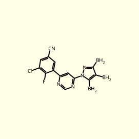 Bc1nn(-c2cc(-c3cc(C#N)cc(Cl)c3F)ncn2)c(B)c1B